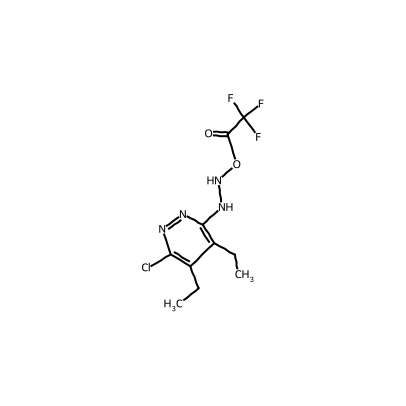 CCc1c(Cl)nnc(NNOC(=O)C(F)(F)F)c1CC